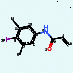 C=CC(=O)Nc1cc(C)c(I)c(C)c1